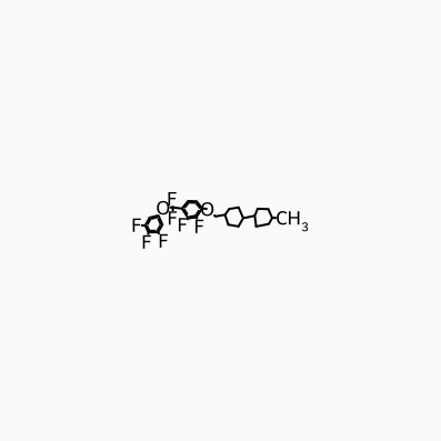 CC1CCC(C2CCC(COc3ccc(C(F)(F)Oc4cc(F)c(F)c(F)c4)c(F)c3F)CC2)CC1